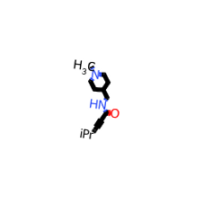 CC(C)C#CC(=O)NCC1CCN(C)CC1